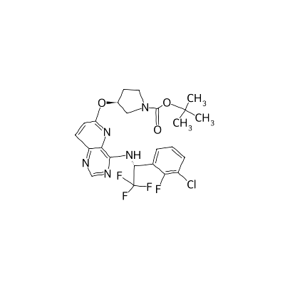 CC(C)(C)OC(=O)N1CC[C@H](Oc2ccc3ncnc(N[C@H](c4cccc(Cl)c4F)C(F)(F)F)c3n2)C1